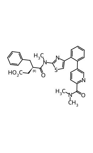 CN(C)C(=O)c1ccc(-c2ccccc2-c2csc(N(C)C(=O)[C@@H](CC(=O)O)Cc3ccccc3)n2)cn1